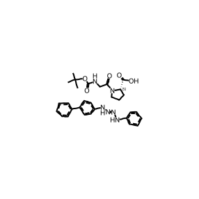 CC(C)(C)OC(=O)NCC(=O)N1CCC[C@H]1C(=O)O.c1ccc(NN=NNc2ccc(-c3ccccc3)cc2)cc1